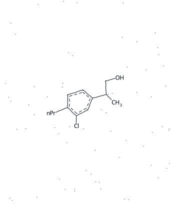 CCCc1ccc([C](C)CO)cc1Cl